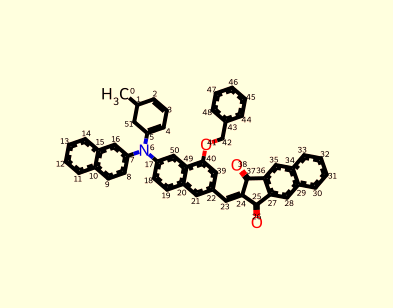 CC1C=CC=C(N(c2ccc3ccccc3c2)c2ccc3cc(C=C4C(=O)c5cc6ccccc6cc5C4=O)cc(OCc4ccccc4)c3c2)C1